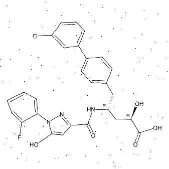 O=C(N[C@H](Cc1ccc(-c2cccc(Cl)c2)cc1)C[C@@H](O)C(=O)O)c1cc(O)n(-c2ccccc2F)n1